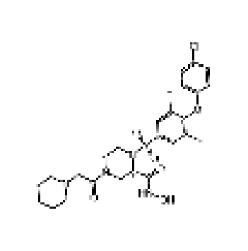 O=C(NO)[C@H]1CN(C(=O)CN2CCCCC2)CCN1S(=O)(=O)c1cc(F)c(Oc2ccc(Cl)cc2)c(F)c1